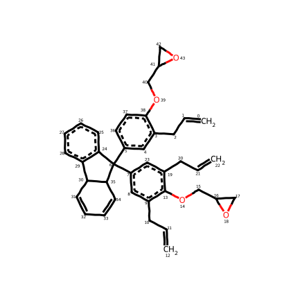 C=CCc1cc(C2(c3cc(CC=C)c(OCC4CO4)c(CC=C)c3)c3ccccc3C3C=CC=CC32)ccc1OCC1CO1